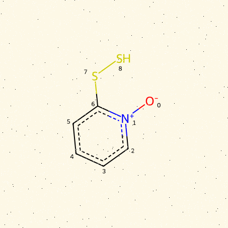 [O-][n+]1ccccc1SS